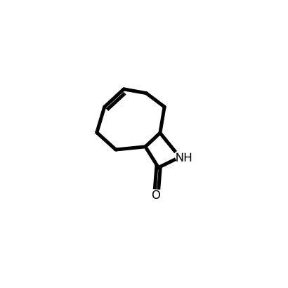 O=C1NC2CCC=CCCC12